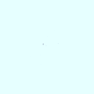 CC1CCCP1CCNCCP1CCCC1C